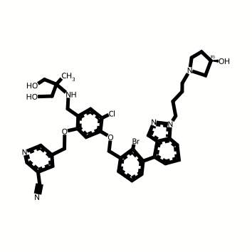 CC(CO)(CO)NCc1cc(Cl)c(OCc2cccc(-c3cccc4c3cnn4CCCCN3CC[C@@H](O)C3)c2Br)cc1OCc1cncc(C#N)c1